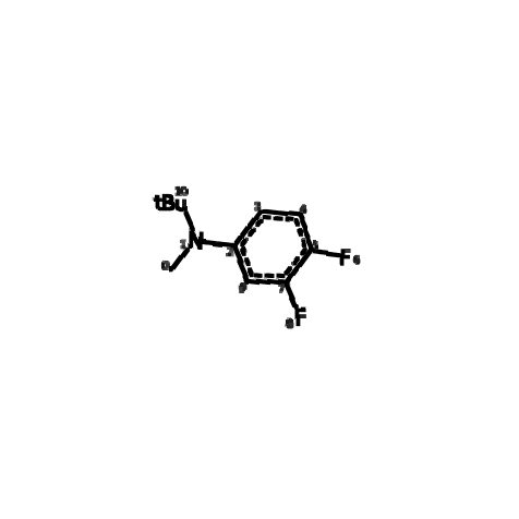 CN(c1ccc(F)c(F)c1)C(C)(C)C